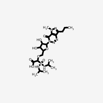 CCCc1nn(C)c2c(=O)n(C3OC(COC(C(=O)O)P(=O)(NC(C)C)NC(C)C)C(O)C3O)nnc12